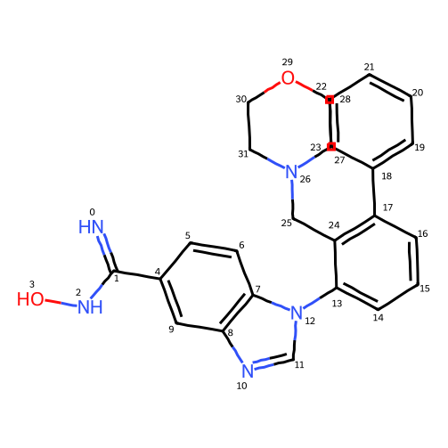 N=C(NO)c1ccc2c(c1)ncn2-c1cccc(-c2ccccc2)c1CN1CCOCC1